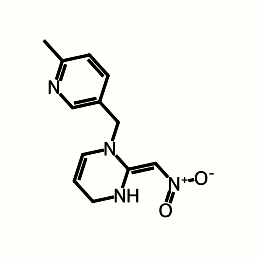 Cc1ccc(CN2C=CCNC2=C[N+](=O)[O-])cn1